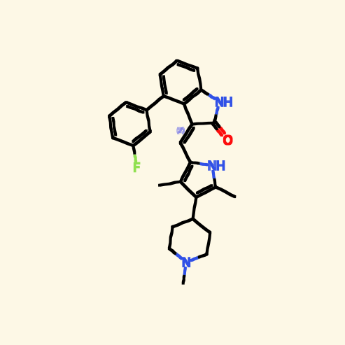 Cc1[nH]c(/C=C2\C(=O)Nc3cccc(-c4cccc(F)c4)c32)c(C)c1C1CCN(C)CC1